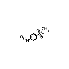 COS(=O)(=O)c1ccc(N=C=O)cc1